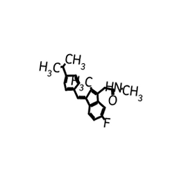 CNC(=O)CC1=C(C)C(=Cc2ccc(C(C)C)cc2)c2ccc(F)cc21